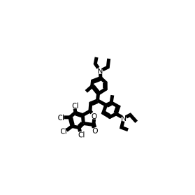 CCN(CC)c1ccc(C(=CC2OC(=O)c3c(Cl)c(Cl)c(Cl)c(Cl)c32)c2ccc(N(CC)CC)cc2C)c(C)c1